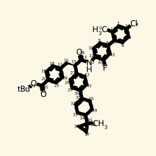 Cc1cc(Cl)ccc1-c1ccc(NC(=O)[C@H](Cc2ccc(C(=O)OC(C)(C)C)cc2)c2ccc(C3=CCC(C4(C)CC4)CC3)cc2)c(F)c1